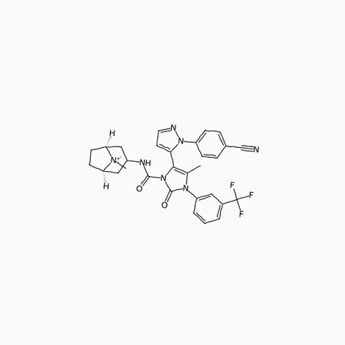 Cc1c(-c2ccnn2-c2ccc(C#N)cc2)n(C(=O)NC2C[C@H]3CC[C@@H](C2)[N+]3(C)C)c(=O)n1-c1cccc(C(F)(F)F)c1